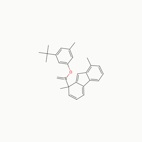 [CH2]=[Ti]([O]c1cc(C)cc(C(C)(C)C)c1)[C]1(C)C=CC=C2C1=Cc1c(C)cccc12